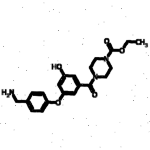 CCOC(=O)N1CCN(C(=O)c2cc(O)cc(Oc3ccc(CN)cc3)c2)CC1